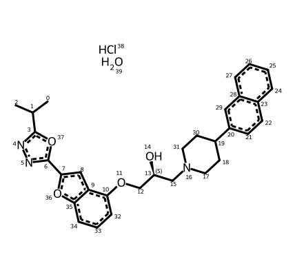 CC(C)c1nnc(-c2cc3c(OC[C@@H](O)CN4CCC(c5ccc6ccccc6c5)CC4)cccc3o2)o1.Cl.O